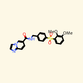 COc1cccc(S(=O)(=O)c2ccc(CNC(=O)c3ccc4nccn4c3)cc2)c1OC